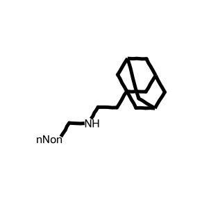 CCCCCCCCCCNCCC12CC3CC(CC(C3)C1)C2